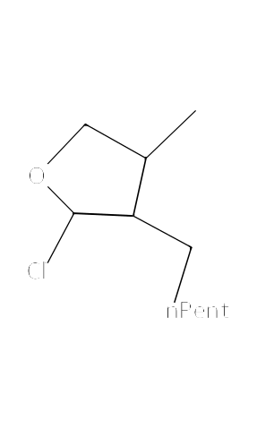 CCCCCCC1C(C)COC1Cl